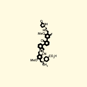 COc1cc(Cn2ncc3c(-c4cccc(-c5cc(F)c(CNC[C@@H]6CCC(=O)N6)c(OC)c5)c4Cl)cccc32)c(C#N)cc1CN(C)[C@H]1CC[C@H](C(=O)O)CC1